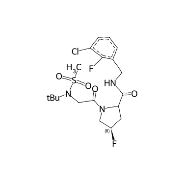 CC(C)(C)N(CC(=O)N1C[C@H](F)CC1C(=O)NCc1cccc(Cl)c1F)S(C)(=O)=O